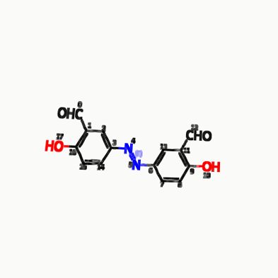 O=Cc1cc(/N=N/c2ccc(O)c(C=O)c2)ccc1O